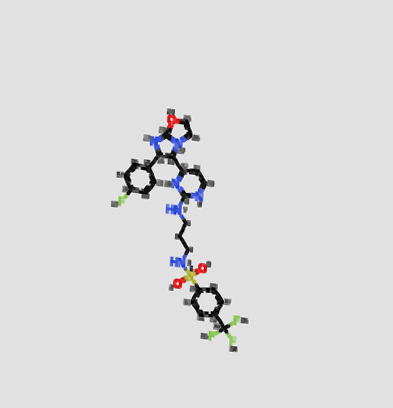 O=S(=O)(NCCCNc1nccc(-c2c(-c3ccc(F)cc3)nc3occn23)n1)c1ccc(C(F)(F)F)cc1